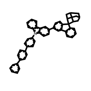 c1ccc(-c2ccc(-c3ccc(-n4c5ccccc5c5cc(-c6ccc7c(c6)-c6ccccc6C76C7CC8CC9CC6C97C8)ccc54)cc3)cc2)cc1